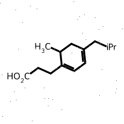 CC(C)CC1=CC=C(CCC(=O)O)C(C)C1